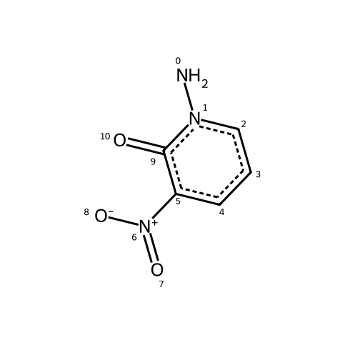 Nn1cccc([N+](=O)[O-])c1=O